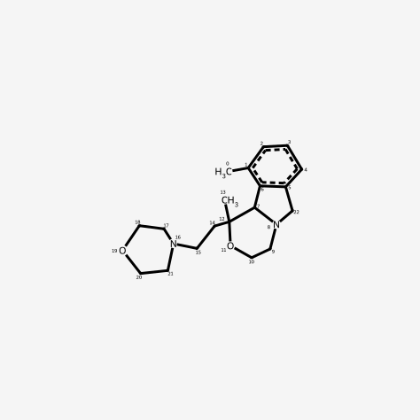 Cc1cccc2c1C1N(CCOC1(C)CCN1CCOCC1)C2